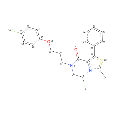 Cc1nc(C(=O)N(CCF)CCCOc2ccc(F)cc2)c(-c2ccccc2)s1